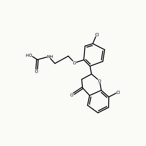 O=C(O)NCCOc1cc(Cl)ccc1C1CC(=O)c2cccc(Cl)c2O1